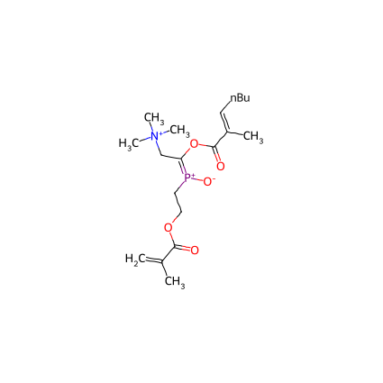 C=C(C)C(=O)OCC/[P+]([O-])=C(\C[N+](C)(C)C)OC(=O)C(C)=CCCCC